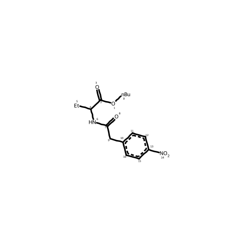 CCCCOC(=O)C(CC)NC(=O)Cc1ccc([N+](=O)[O-])cc1